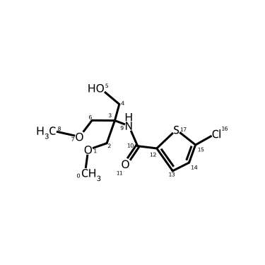 COCC(CO)(COC)NC(=O)c1ccc(Cl)s1